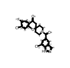 O=C1CC2(CCN(C(=O)c3cc(Cl)c4[nH]ncc4c3)CC2)Oc2cc(Cl)c(F)cc21